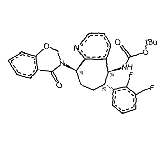 CC(C)(C)OC(=O)N[C@@H]1c2cccnc2[C@H](N2COc3ccccc3C2=O)CC[C@H]1c1cccc(F)c1F